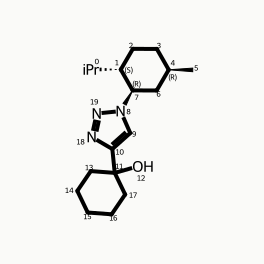 CC(C)[C@@H]1CC[C@@H](C)C[C@H]1n1cc(C2(O)CCCCC2)nn1